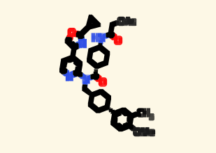 COc1ccc([C@H]2CC[C@H](CN(c3cc(-c4coc(C5CC5)n4)ccn3)C(=O)[C@H]3CC[C@H](NC(=O)COC(C)=O)CC3)CC2)cc1C